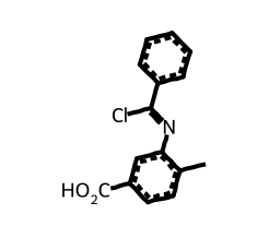 Cc1ccc(C(=O)O)cc1N=C(Cl)c1ccccc1